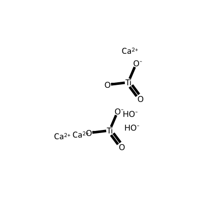 [Ca+2].[Ca+2].[Ca+2].[OH-].[OH-].[O]=[Ti]([O-])[O-].[O]=[Ti]([O-])[O-]